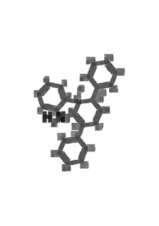 CC1(c2ccccc2)C(N)=C(c2ccccc2)C=CC1c1ccccc1